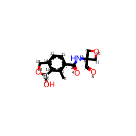 Cc1c(C(=O)NC2(C=O)COC2)ccc2c1B(O)OC2